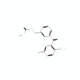 CC(C)(C)OC(=O)NCc1cccc(C(=O)c2cc(Cl)ccc2N)c1